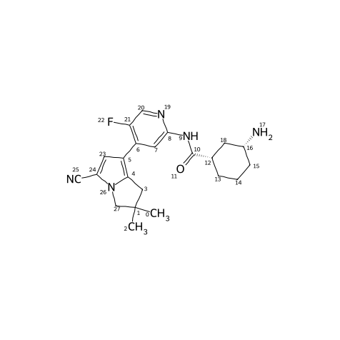 CC1(C)Cc2c(-c3cc(NC(=O)[C@H]4CCC[C@@H](N)C4)ncc3F)cc(C#N)n2C1